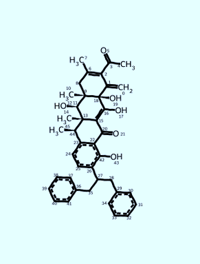 C=C1C(C(C)=O)=C(C)C[C@@]2(C)[C@H](O)[C@]3(C)C(=C(O)[C@@]12O)C(=O)c1c(ccc(C(Cc2ccccc2)Cc2ccccc2)c1O)[C@H]3C